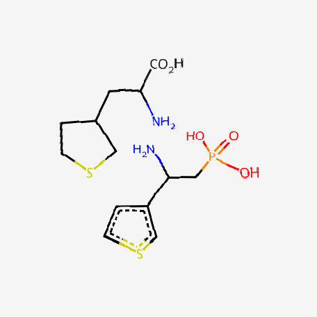 NC(CC1CCSC1)C(=O)O.NC(CP(=O)(O)O)c1ccsc1